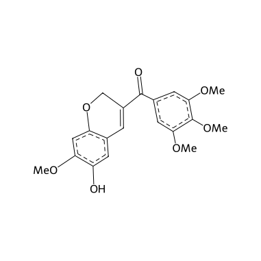 COc1cc2c(cc1O)C=C(C(=O)c1cc(OC)c(OC)c(OC)c1)CO2